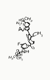 Cc1c(-c2cc3ccc(C(C)(C)O)nc3n2CC2CC2)nn2cc(C(=O)N3C[C@H](F)C[C@@H](NC(=O)OC(C)(C)C)C3)ccc12